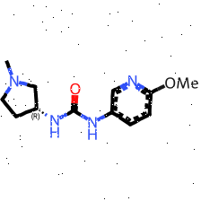 COc1ccc(NC(=O)N[C@@H]2CCN(C)C2)cn1